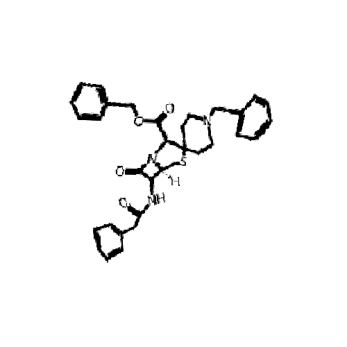 O=C(Cc1ccccc1)NC1C(=O)N2C(C(=O)OCc3ccccc3)C3(CCN(Cc4ccccc4)CC3)S[C@@H]12